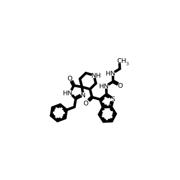 CCNC(=O)Nc1sc2ccccc2c1C(=O)C1CNCCC12N=C(Cc1ccccc1)NC2=O